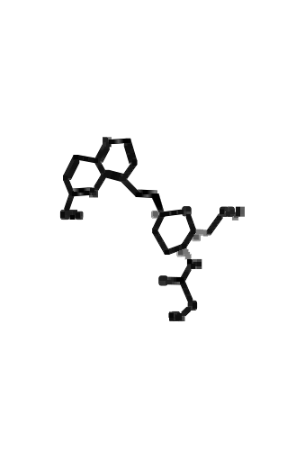 COc1ccc2nccc(C=C[C@@H]3CC[C@@H](NC(=O)OC(C)(C)C)[C@@H](CC(=O)O)O3)c2n1